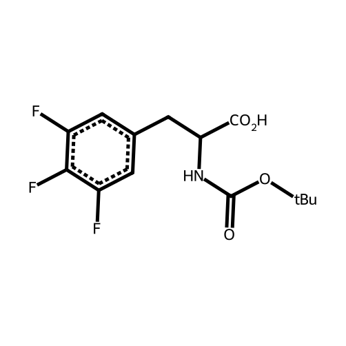 CC(C)(C)OC(=O)NC(Cc1cc(F)c(F)c(F)c1)C(=O)O